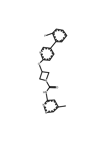 Cc1cnnc(NC(=O)N2CC(Oc3ccc(-c4ccccc4F)cn3)C2)c1